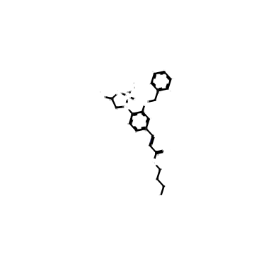 CCCCNC(=O)/C=C/c1ccc(N2CC(O)NS2(O)O)c(OCc2ccccc2)c1